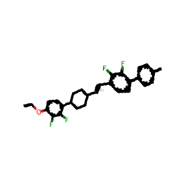 CCOc1ccc(C2CCC(/C=C/c3ccc(-c4ccc(C)cc4)c(F)c3F)CC2)c(F)c1F